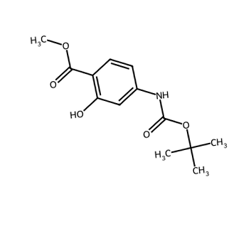 COC(=O)c1ccc(NC(=O)OC(C)(C)C)cc1O